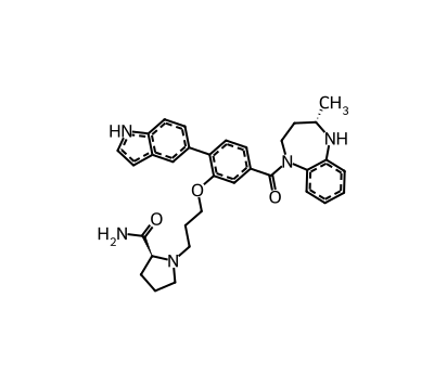 C[C@H]1CCN(C(=O)c2ccc(-c3ccc4[nH]ccc4c3)c(OCCCN3CCC[C@H]3C(N)=O)c2)c2ccccc2N1